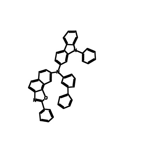 c1ccc(-c2cccc(N(c3ccc4ccc5nc(-c6ccccc6)oc5c4c3)c3ccc4c5ccccc5n(-c5ccccc5)c4c3)c2)cc1